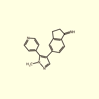 Cn1ncc(-c2ccc3c(c2)CCC3=N)c1-c1ccncc1